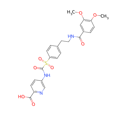 COc1ccc(C(=O)NCCc2ccc(S(=O)(=O)C(=O)Nc3ccc(C(=O)O)nc3)cc2)cc1OC